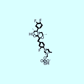 Cc1cn(-c2ccc(C=C3O[C@@H](C)CN([C@H](c4ccc(F)c(F)c4)[C@@H](C)O)C3=O)cc2F)c[n+]1COP(=O)([O-])O